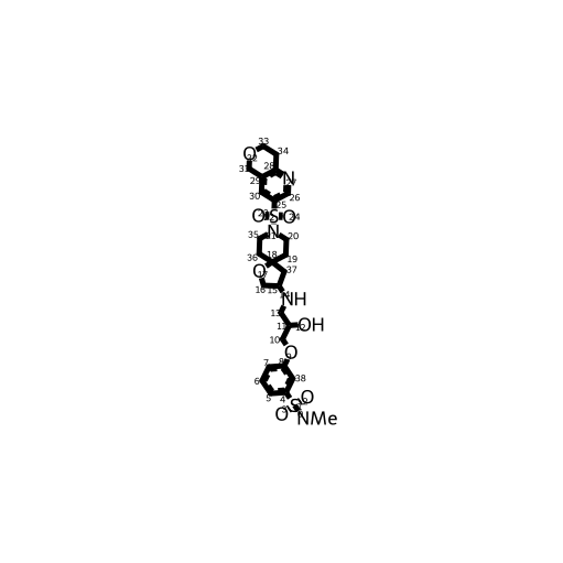 CNS(=O)(=O)c1cccc(OCC(O)CNC2COC3(CCN(S(=O)(=O)c4cnc5c(c4)COCC5)CC3)C2)c1